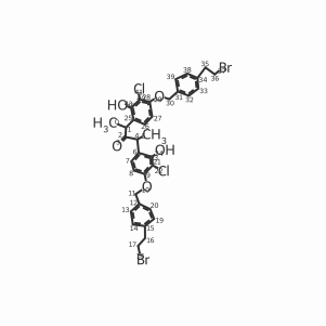 CC(C(=O)C(C)c1ccc(OCc2ccc(CCBr)cc2)c(Cl)c1O)c1ccc(OCc2ccc(CCBr)cc2)c(Cl)c1O